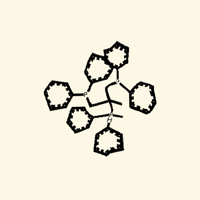 CC(CP(c1ccccc1)c1ccccc1)(CP(c1ccccc1)c1ccccc1)[PH](C)(c1ccccc1)c1ccccc1